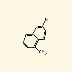 [CH2]c1cccc2cc(Br)ccc12